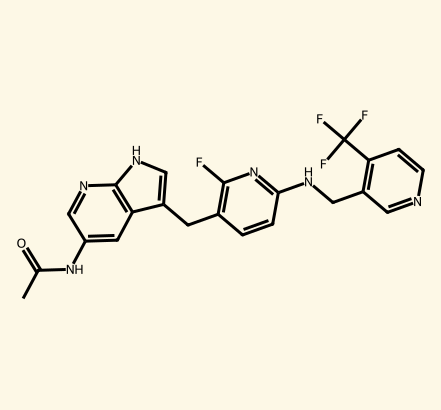 CC(=O)Nc1cnc2[nH]cc(Cc3ccc(NCc4cnccc4C(F)(F)F)nc3F)c2c1